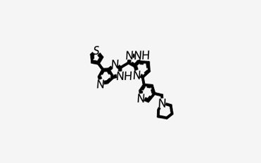 c1cc(-c2cncc3[nH]c(-c4n[nH]c5ccc(-c6cncc(CN7CCCCC7)c6)nc45)nc23)cs1